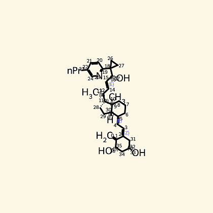 C=C1/C(=C\C=C2/CCC[C@]3(C)[C@@H]([C@H](C)/C=C/[C@@H](O)C4(c5ccc(CCC)cn5)CC4)CC[C@@H]23)C[C@@H](O)C[C@@H]1O